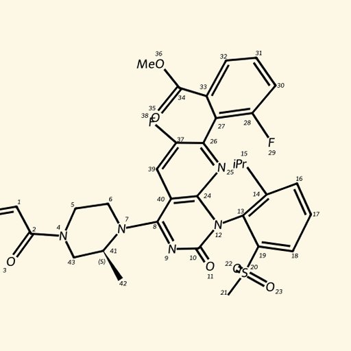 C=CC(=O)N1CCN(c2nc(=O)n(-c3c(C(C)C)cccc3S(C)(=O)=O)c3nc(-c4c(F)cccc4C(=O)OC)c(F)cc23)[C@@H](C)C1